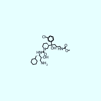 COC(=O)NCCC[C@@](O)(c1cccc(Cl)c1)[C@@H]1CCCN(C(=O)N[C@@H](CC2CCCCC2)[C@H](O)CN)C1